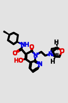 C[C@H]1CC[C@@H](NC(=O)c2c(O)c3cccnc3n(CCN3C[C@@H]4C[C@H]3CO4)c2=O)CC1